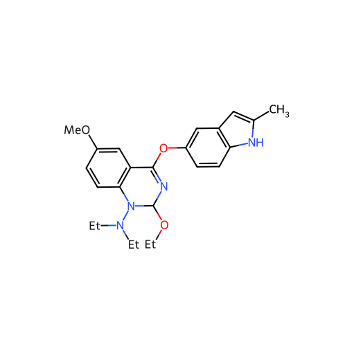 CCOC1N=C(Oc2ccc3[nH]c(C)cc3c2)c2cc(OC)ccc2N1N(CC)CC